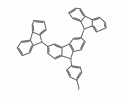 Fc1ccc(-n2c3ccc(-n4c5ccccc5c5ccccc54)cc3c3cc(-n4c5ccccc5c5ccccc54)ccc32)cc1